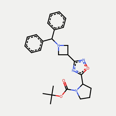 CC(C)(C)OC(=O)N1CCCC1c1nc(C2CN(C(c3ccccc3)c3ccccc3)C2)no1